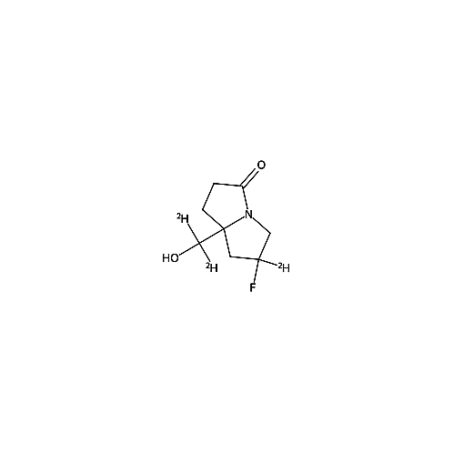 [2H]C1(F)CN2C(=O)CCC2(C([2H])([2H])O)C1